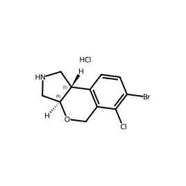 Cl.Clc1c(Br)ccc2c1CO[C@H]1CNC[C@H]21